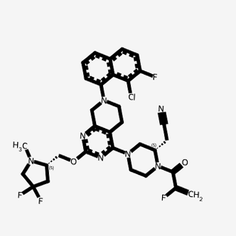 C=C(F)C(=O)N1CCN(c2nc(OC[C@@H]3CC(F)(F)CN3C)nc3c2CCN(c2cccc4ccc(F)c(Cl)c24)C3)C[C@@H]1CC#N